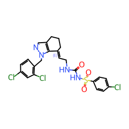 O=C(NC/C=C1\CCCc2cnn(Cc3ccc(Cl)cc3Cl)c21)NS(=O)(=O)c1ccc(Cl)cc1